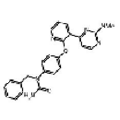 CNc1nccc(-c2cccnc2Oc2ccc(N(Cc3ccccc3)C(N)=O)cc2)n1